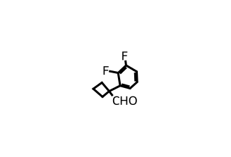 O=CC1(c2cccc(F)c2F)CCC1